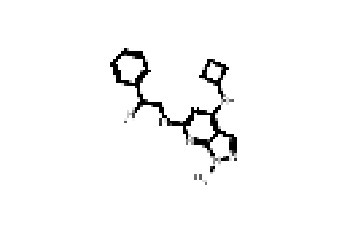 Cn1ncc2c(NC3CCC3)nc(NCC(N)c3ccccc3)nc21